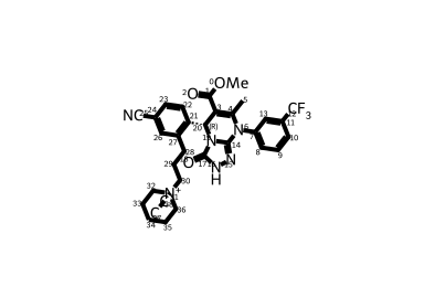 COC(=O)C1=C(C)N(c2cccc(C(F)(F)F)c2)c2n[nH]c(=O)n2[C@@H]1c1ccc(C#N)cc1CCC[N+]12CCC(CC1)CC2